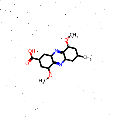 COC1CC(C)CC2N=C3C(CC(C(=O)O)CC3OC)N=C21